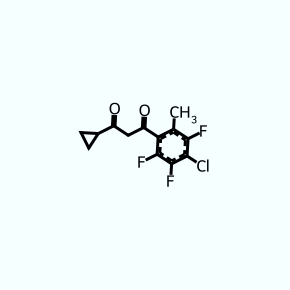 Cc1c(F)c(Cl)c(F)c(F)c1C(=O)CC(=O)C1CC1